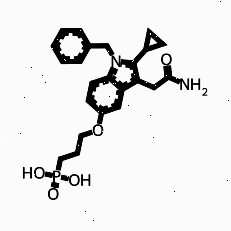 NC(=O)Cc1c(C2CC2)n(Cc2ccccc2)c2ccc(OCCCP(=O)(O)O)cc12